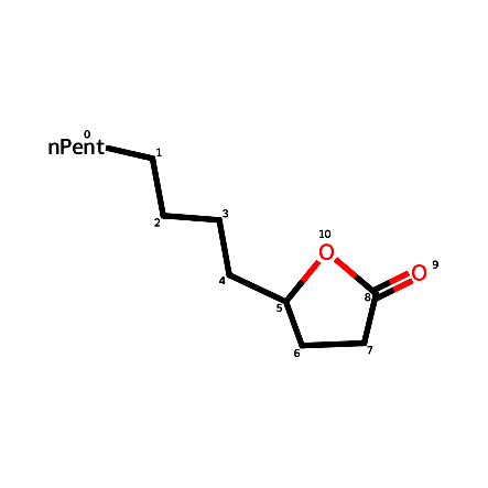 CCCCCCCCCC1CCC(=O)O1